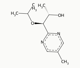 Cc1cnc([C@@H](OC(C)C)[C@H](C)O)nc1